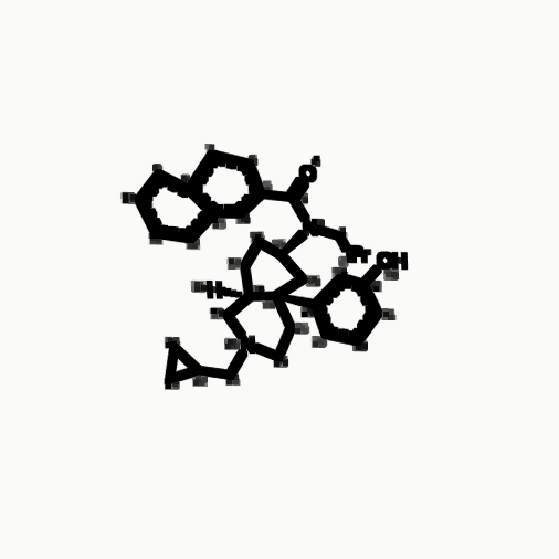 CC(C)CN(C(=O)c1ccc2ccccc2c1)[C@@H]1CC[C@@H]2CN(CC3CC3)CC[C@@]2(c2cccc(O)c2)C1